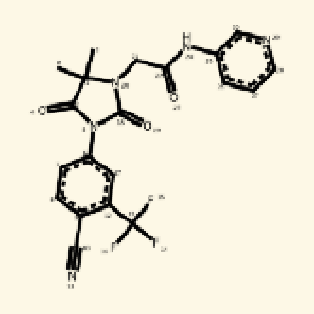 CC1(C)C(=O)N(c2ccc(C#N)c(C(F)(F)F)c2)C(=O)N1CC(=O)Nc1cccnc1